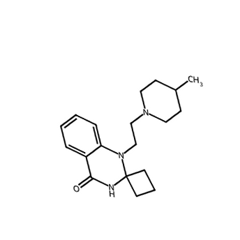 CC1CCN(CCN2c3ccccc3C(=O)NC23CCC3)CC1